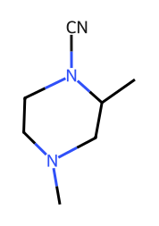 CC1CN(C)CCN1C#N